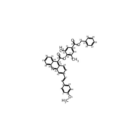 COc1ccc(C=Cc2ccc3c(C(=O)Oc4c(C)cc(C(=O)OCc5ccccc5)cc4C)c4ccccc4nc3c2)cc1